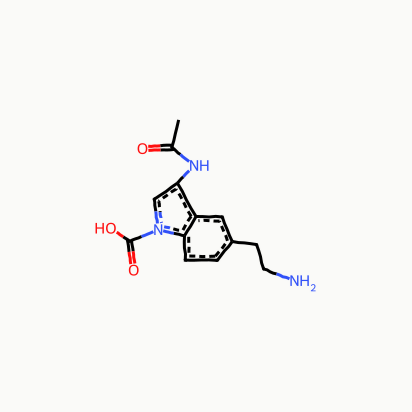 CC(=O)Nc1cn(C(=O)O)c2ccc(CCN)cc12